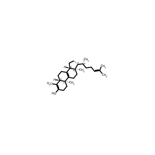 CC(C)=CCC[C@@H](C)[C@H]1CC[C@H]2C3=C(CC[C@]12C)[C@@]1(C)CCC(O)=C(C)[C@@H]1CC3